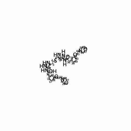 N=C(CSCCC(=N)SC(=N)NC(O)Cc1cccc(OCCN2CCOCC2)c1)SC(=N)NC(=O)Cc1cccc(OCCN2CCOCC2)c1